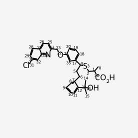 CC(CSC(CCc1ccccc1C(C)(C)O)c1cccc(OCc2ccc3ccc(Cl)cc3n2)c1)C(=O)O